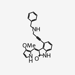 COc1cc[nH]c1C=C1C(=O)Nc2cccc(C#CCNCc3ccccc3)c21